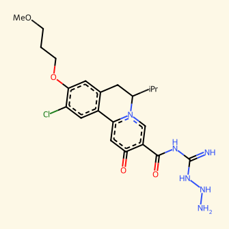 COCCCOc1cc2c(cc1Cl)-c1cc(=O)c(C(=O)NC(=N)NNN)cn1C(C(C)C)C2